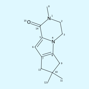 CN1CCn2c(cc3c2CC(C)(C)C3)C1=O